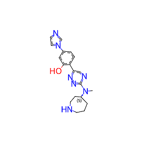 CN(c1ncc(-c2ccc(-n3ccnc3)cc2O)nn1)[C@H]1CCCNCC1